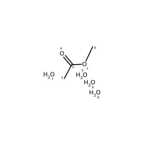 COC(C)=O.O.O.O.O